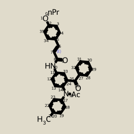 CCCOc1ccc(/C=C/C(=O)Nc2ccc(N(C(C)=O)c3ccc(C)cc3)c(C(=O)c3ccccc3)c2)cc1